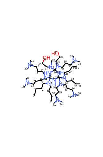 CCCCN(CCCC)C1(N(CCCN(C)C)CCCN(C)C)NC(N(C)CCO)(N(CCO)CCCN(C)C)NC(N(CCCC)CCCC)(N(CCCN(C)C)CCCN(C)C)N1